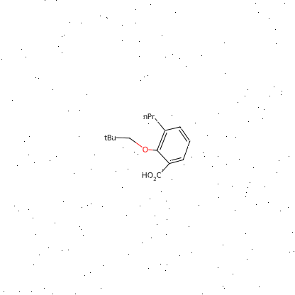 CCCc1cccc(C(=O)O)c1OCC(C)(C)C